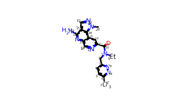 CCN(Cc1ccc(C(F)(F)F)nn1)C(=O)c1cc2c(cn1)nc(N)c1cnn(C)c12